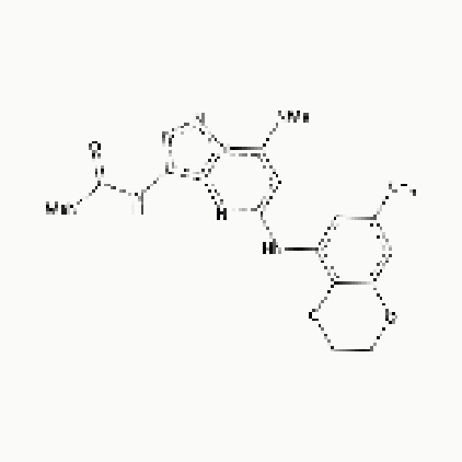 CNC(=O)Nc1cnn2c(NC)cc(Nc3cc(C)cc4c3OCCO4)nc12